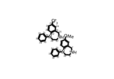 COc1ccc2c(c1)CNCCN2c1ccccc1.FC(F)(F)c1ccc2c(c1)CNCCN2c1ccccc1